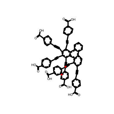 O=C(O)c1ccc(C#Cc2ccc3c4ccccc4c4c(C#Cc5ccc(C(=O)O)cc5)c(C#Cc5ccc(C(=O)O)cc5)c(C#Cc5ccc(C(=O)O)cc5)c(C#Cc5ccc(C(=O)O)cc5)c4c3c2C#Cc2ccc(C(=O)O)cc2)cc1